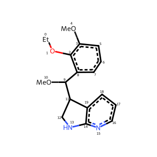 CCOc1c(OC)cccc1C(OC)C1CNc2ncccc21